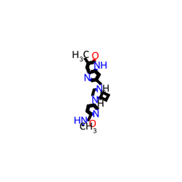 CCc1cc2ncc(CN3CCN(c4ccc(C(=O)NC)nc4)[C@H]4CC[C@H]43)cc2[nH]c1=O